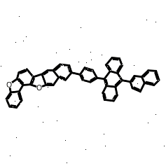 c1ccc2cc(-c3c4ccccc4c(-c4ccc(-c5ccc6cc7c(cc6c5)oc5c7ccc6oc7ccccc7c65)cc4)c4ccccc34)ccc2c1